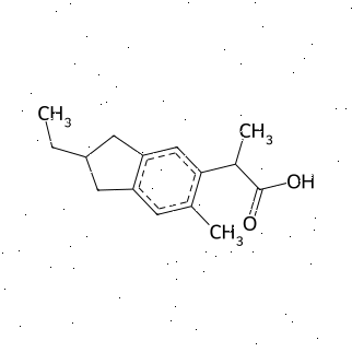 CCC1Cc2cc(C)c(C(C)C(=O)O)cc2C1